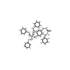 O=P(OCc1ccccc1)(OCc1ccccc1)Oc1cc2c(cc1OCc1ccccc1)CCNCC2c1ccccc1